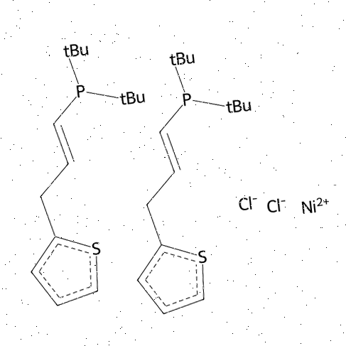 CC(C)(C)P(C=CCc1cccs1)C(C)(C)C.CC(C)(C)P(C=CCc1cccs1)C(C)(C)C.[Cl-].[Cl-].[Ni+2]